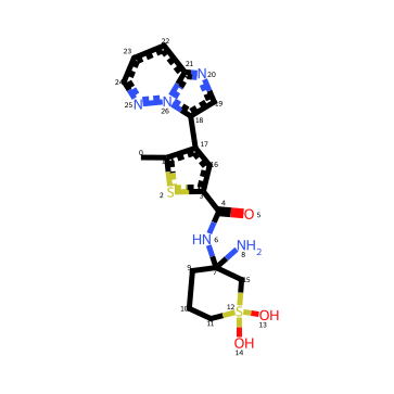 Cc1sc(C(=O)NC2(N)CCCS(O)(O)C2)cc1-c1cnc2cccnn12